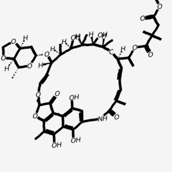 COC(=O)CC(C)(C)C(=O)OC(C)[C@H]1/C=C/C=C(/C)C(=O)Nc2cc(O)c3c4c(c(C)c(O)c3c2O)O[C@](C)(O/C=C/[C@H](O[C@H]2C[C@@H]3OCO[C@@H]3[C@@H](C)O2)[C@@H](C)[C@@H](O)[C@H](C)[C@H](O)[C@H](C)C1)C4=O